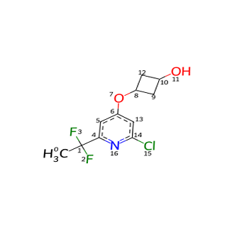 CC(F)(F)c1cc(OC2CC(O)C2)cc(Cl)n1